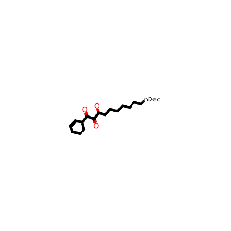 CCCCCCCCCCCCCCCCCC(=O)C(=O)C(=O)c1ccccc1